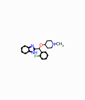 CN1CCC(OC(c2nc3ccccc3[nH]2)c2ccccc2F)CC1